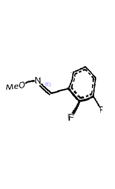 CO/N=C/c1[c]ccc(F)c1F